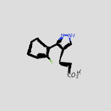 O=C(O)/C=C/c1c[nH]nc1-c1ccccc1F